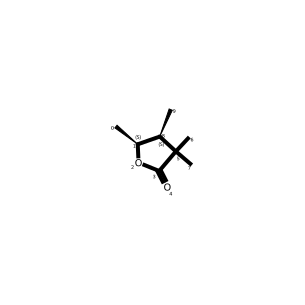 C[C@@H]1OC(=O)C(C)(C)[C@@H]1C